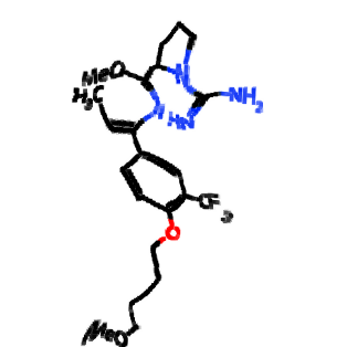 C/C=C(\N=C(/OC)C1CCCN1C(=N)N)c1ccc(OCCCCOC)c(C(F)(F)F)c1